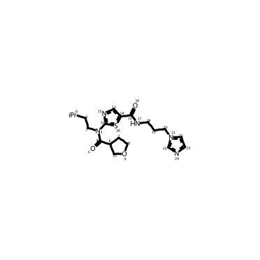 CC(C)CCN(C(=O)C1CCOC1)c1ncc(C(=O)NCCCn2ccnc2)s1